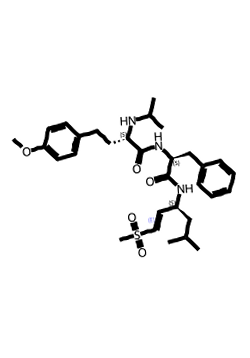 COc1ccc(CC[C@H](NC(C)C)C(=O)N[C@@H](Cc2ccccc2)C(=O)N[C@H](/C=C/S(C)(=O)=O)CC(C)C)cc1